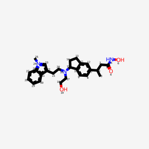 CC(CC(=O)NO)c1ccc2c(c1)CCC2N(CCO)CCc1cn(C)c2ccccc12